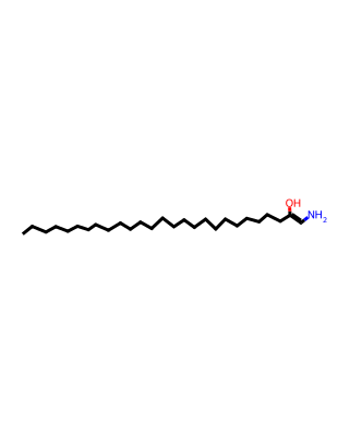 CCCCCCCCCCCCCCCCCCCCCCCCCC(O)=CN